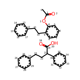 CC(=O)Oc1ccccc1CCc1ccccc1.O=C(O)C(CCc1ccccc1)c1ccccc1